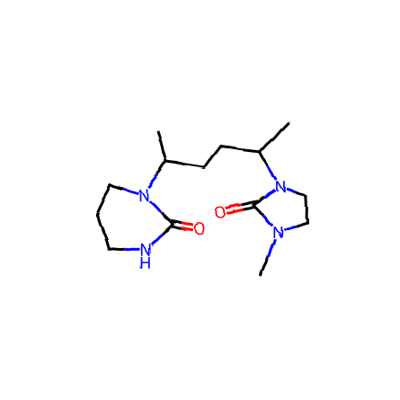 CC(CCC(C)N1CCN(C)C1=O)N1CCCNC1=O